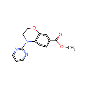 COC(=O)c1ccc2c(c1)OCCN2c1ncccn1